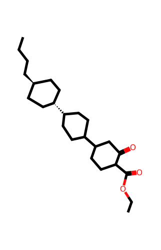 CCCC[C@H]1CC[C@H](C2CCC(C3CCC(C(=O)OCC)C(=O)C3)CC2)CC1